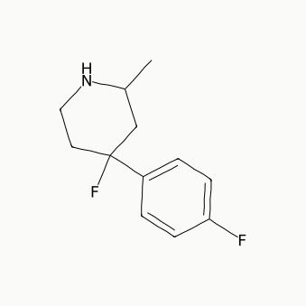 CC1CC(F)(c2ccc(F)cc2)CCN1